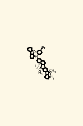 CC(C)c1ccc(N(c2ccc3c4c(ccc3c2)-c2cc3c(cc2C4(C)C)-c2ccccc2C3(C)C)c2cccc3c2oc2ccccc23)cc1